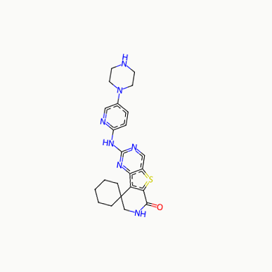 O=C1NCC2(CCCCC2)c2c1sc1cnc(Nc3ccc(N4CCNCC4)cn3)nc21